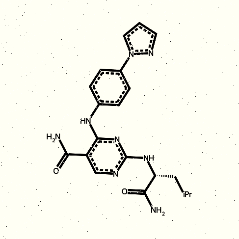 CC(C)C[C@@H](Nc1ncc(C(N)=O)c(Nc2ccc(-n3cccn3)cc2)n1)C(N)=O